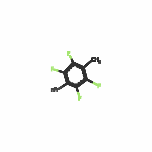 CCCc1c(F)c(F)c(C)c(F)c1F